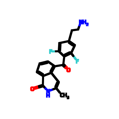 Cc1cc2c(C(=O)c3c(F)cc(CCN)cc3F)cccc2c(=O)[nH]1